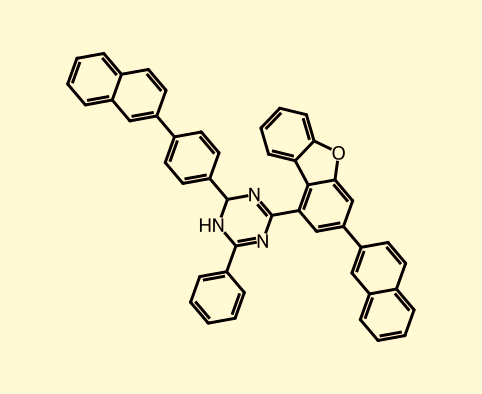 c1ccc(C2=NC(c3cc(-c4ccc5ccccc5c4)cc4oc5ccccc5c34)=NC(c3ccc(-c4ccc5ccccc5c4)cc3)N2)cc1